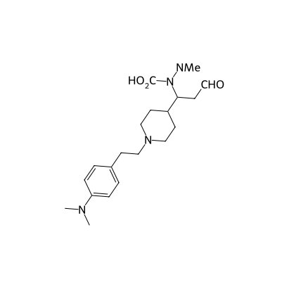 CNN(C(=O)O)C(CC=O)C1CCN(CCc2ccc(N(C)C)cc2)CC1